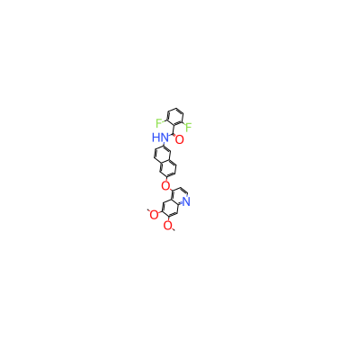 COc1cc2nccc(Oc3ccc4cc(NC(=O)c5c(F)cccc5F)ccc4c3)c2cc1OC